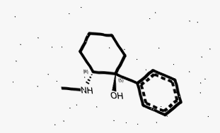 CN[C@@H]1CCCC[C@]1(O)c1ccccc1